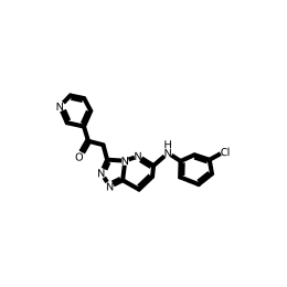 O=C(Cc1nnc2ccc(Nc3cccc(Cl)c3)nn12)c1cccnc1